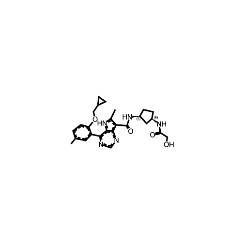 Cc1ccc(OCC2CC2)c(-c2ncnc3c(C(=O)N[C@H]4CC[C@@H](NC(=O)CO)C4)c(C)[nH]c23)c1